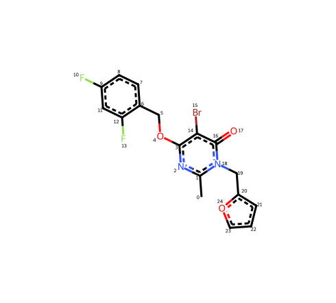 Cc1nc(OCc2ccc(F)cc2F)c(Br)c(=O)n1Cc1ccco1